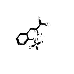 CS(=O)(=O)Nc1ccccc1C[C@H](N)C(=O)O